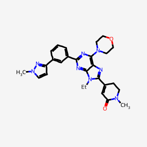 CCn1c(C2=CC(=O)N(C)CC2)nc2c(N3CCOCC3)nc(-c3cccc(-c4ccn(C)n4)c3)nc21